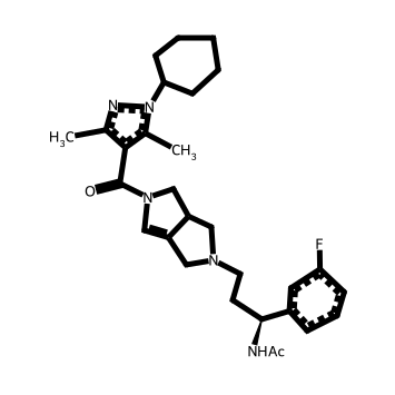 CC(=O)N[C@@H](CCN1CC2=CN(C(=O)c3c(C)nn(C4CCCCC4)c3C)CC2C1)c1cccc(F)c1